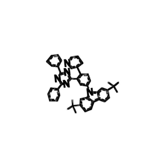 CC(C)(C)c1ccc2c3ccc(C(C)(C)C)cc3n(-c3ccc(-c4cccnc4)c(-c4nc(-c5ccccc5)nc(-c5ccccc5)n4)c3)c2c1